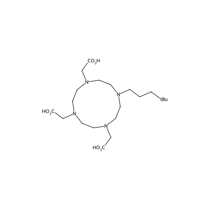 CC(C)(C)CCCN1CCN(CC(=O)O)CCN(CC(=O)O)CCN(CC(=O)O)CC1